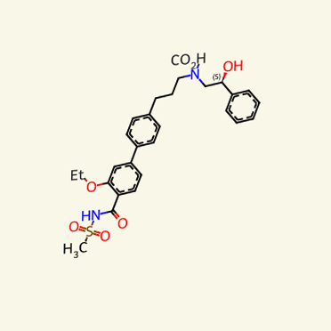 CCOc1cc(-c2ccc(CCCN(C[C@@H](O)c3ccccc3)C(=O)O)cc2)ccc1C(=O)NS(C)(=O)=O